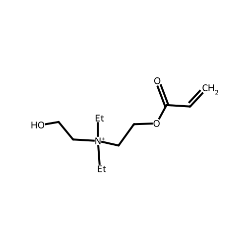 C=CC(=O)OCC[N+](CC)(CC)CCO